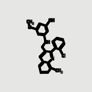 COc1cc(O)cc(NCc2cc3cccc(C)c3nc2-c2ccccc2Cl)c1